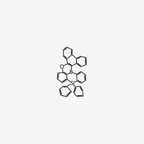 c1ccc([Si]2(c3ccccc3)c3ccccc3B3c4c(cccc42)Oc2c3c3ccccc3c3ccccc23)cc1